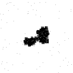 CN(C[C@@H](CCN1CCC2(CC1)CSc1ccccc12)c1ccc(Cl)c(Cl)c1)C(=O)c1ccc(F)c2ccccc12